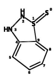 S=S1NNc2ccccc21